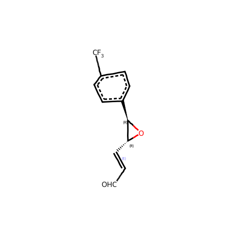 O=C/C=C/[C@H]1O[C@@H]1c1ccc(C(F)(F)F)cc1